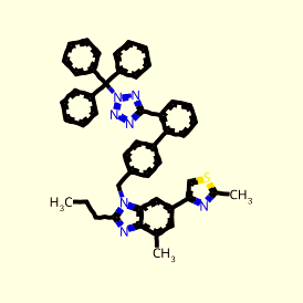 CCCc1nc2c(C)cc(-c3csc(C)n3)cc2n1Cc1ccc(-c2ccccc2-c2nnn(C(c3ccccc3)(c3ccccc3)c3ccccc3)n2)cc1